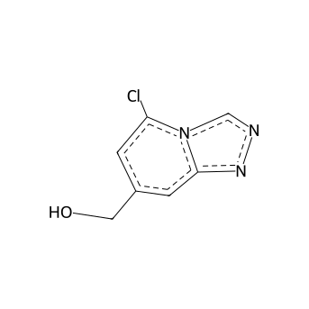 OCc1cc(Cl)n2cnnc2c1